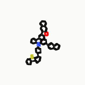 c1cc(-c2ccc3ccccc3c2)cc(N(c2ccc(-c3cccc4c3sc3ccccc34)cc2)c2ccccc2-c2ccc3oc4cc5ccccc5cc4c3c2)c1